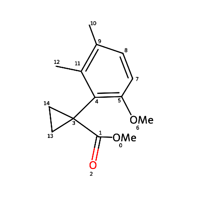 COC(=O)C1(c2c(OC)ccc(C)c2C)CC1